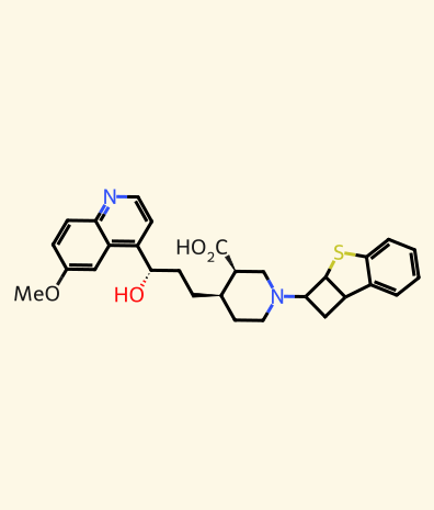 COc1ccc2nccc([C@@H](O)CC[C@@H]3CCN(C4CC5c6ccccc6SC54)C[C@@H]3C(=O)O)c2c1